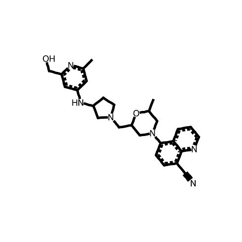 Cc1cc(NC2CCN(CC3CN(c4ccc(C#N)c5ncccc45)CC(C)O3)C2)cc(CO)n1